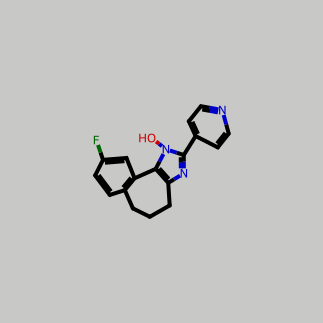 On1c(-c2ccncc2)nc2c1-c1cc(F)ccc1CCC2